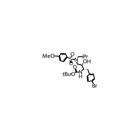 COc1ccc(S(=O)(=O)N(CC(C)C)C[C@@H](O)[C@H](Cc2ccc(Br)cc2)NC(=O)OC(C)(C)C)cc1